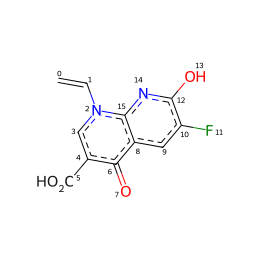 C=Cn1cc(C(=O)O)c(=O)c2cc(F)c(O)nc21